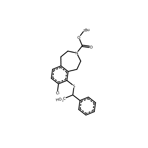 CC(C)(C)OC(=O)N1CCc2ccc(Cl)c(SC(C(=O)O)c3ccccc3)c2CC1